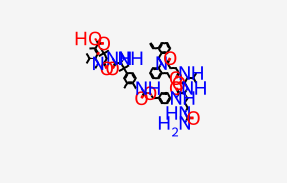 C=Cc1ccccc1CN(C(=O)CCC(=O)N[C@H](C(=O)N[C@@H](CCCNC(N)=O)C(=O)Nc1ccc(COC(=O)NCc2ccc(C(C)(C)[C@H](NC)C(=O)N[C@H](C(=O)N(C)[C@H](/C=C(\C)C(=O)O)C(C)C)C(C)(C)C)cc2C)cc1)C(C)C)c1ccccc1CC